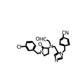 N#Cc1ccc(Cn2cncc2CN(CC=O)[C@H]2CCN(Cc3cccc(Cl)c3)C2=O)cc1